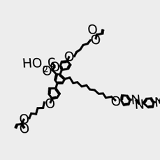 C=CC(=O)OCCCCCCOc1ccc(-c2cc(CCCCCCCCCCCOc3ccc(N=Nc4ccc(N(C)C)cc4)cc3)c(-c3ccc(OCCCCCCOC(=O)C=C)cc3)c(C(=O)OC(=O)O)c2)cc1